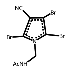 CC(=O)NCn1c(Br)c(Br)c(C#N)c1Br